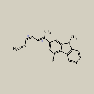 C=N/C=C\C=C(/C)c1cc(F)c2c3cnccc3n(C)c2c1